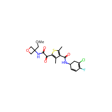 COCC1(NC(=O)C(=O)c2sc(C)c(C(=O)NC3C=CC(F)=C(Cl)C3)c2C)COC1